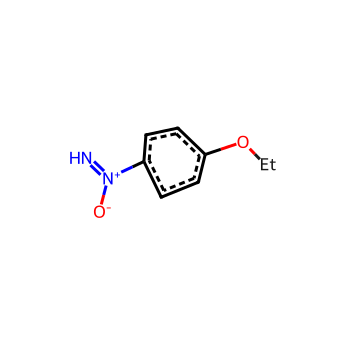 CCOc1ccc([N+](=N)[O-])cc1